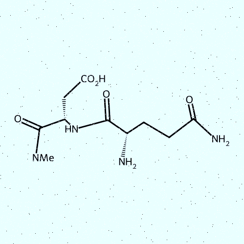 CNC(=O)[C@H](CC(=O)O)NC(=O)[C@@H](N)CCC(N)=O